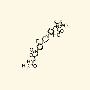 CC(=O)NCC1CN(c2ccc(N3CCN(c4ccc(C[N+]5(CC(=O)O)CC(=O)SC5=S)cc4)CC3)c(F)c2)C(=O)O1